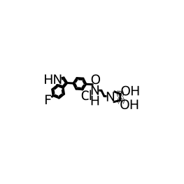 O=C(NCCN1C[C@@H](O)[C@H](O)C1)c1ccc(-c2c[nH]c3cc(F)ccc23)cc1Cl